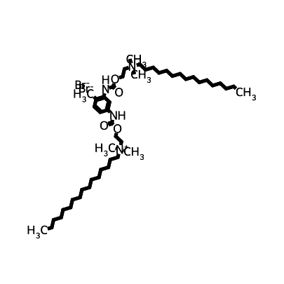 CCCCCCCCCCCCCCCC[N+](C)(C)CCOC(=O)Nc1ccc(C)c(NC(=O)OCC[N+](C)(C)CCCCCCCCCCCCCCCC)c1.[Br-].[Br-]